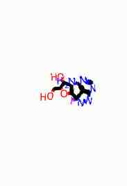 Nc1ncnc2c1C(I)(C1CC(O)C(CO)O1)N=N2